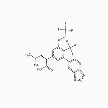 CC(C)C[C@H](C(=O)O)c1cc(OCC(F)(F)F)c(C(F)(F)F)c(-c2ccc3nsnc3c2)c1